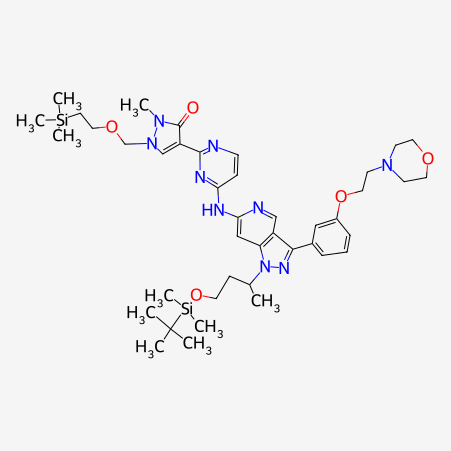 CC(CCO[Si](C)(C)C(C)(C)C)n1nc(-c2cccc(OCCN3CCOCC3)c2)c2cnc(Nc3ccnc(-c4cn(COCC[Si](C)(C)C)n(C)c4=O)n3)cc21